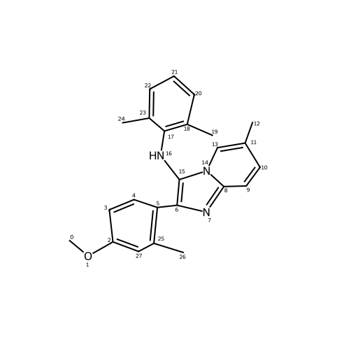 COc1ccc(-c2nc3ccc(C)cn3c2Nc2c(C)cccc2C)c(C)c1